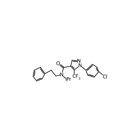 CC(C)N(CCc1ccccc1)C(=O)c1cnn(-c2ccc(Cl)cc2)c1C(F)(F)F